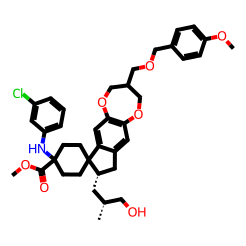 COC(=O)C1(Nc2cccc(Cl)c2)CCC2(CC1)c1cc3c(cc1C[C@@H]2C[C@@H](C)CO)OCC(COCc1ccc(OC)cc1)CO3